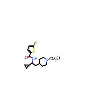 CCOC(=O)N1CCC(CC(NC(=O)c2ccc(Cl)s2)C2CC2)CC1